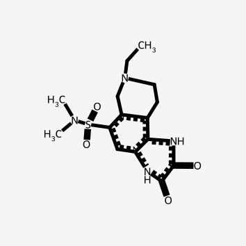 CCN1CCc2c(c(S(=O)(=O)N(C)C)cc3[nH]c(=O)c(=O)[nH]c23)C1